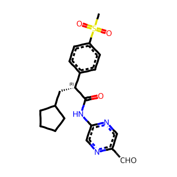 CS(=O)(=O)c1ccc([C@@H](CC2CCCC2)C(=O)Nc2cnc(C=O)cn2)cc1